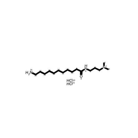 CN(C)CCCNC(=O)CCCCCCCCCCN.Cl.Cl